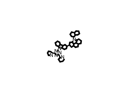 c1ccc(-c2nc(-c3ccccn3)nc(-n3c4ccccc4c4cc(-c5cc6ccc7cccc8c7c6c(c5)n8-c5cccc6ccccc56)ccc43)n2)nc1